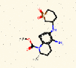 COC(=O)N1c2ccc(NC3CCCS(=O)(=O)C3)c(N)c2CC[C@@H]1C